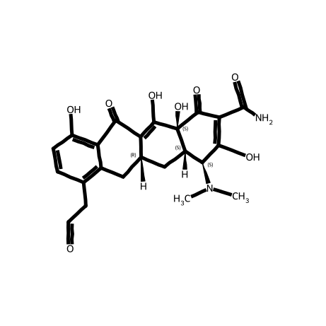 CN(C)[C@@H]1C(O)=C(C(N)=O)C(=O)[C@@]2(O)C(O)=C3C(=O)c4c(O)ccc(CC=O)c4C[C@H]3C[C@@H]12